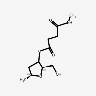 CNC(=O)CCC(=O)OC1C[C@H](C)O[C@@H]1CO